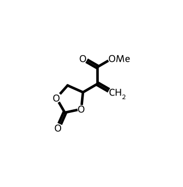 C=C(C(=O)OC)C1COC(=O)O1